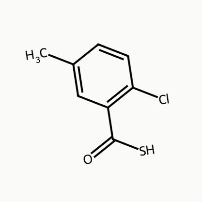 Cc1ccc(Cl)c(C(=O)S)c1